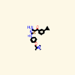 CC(COc1ccc(Nc2nc(N)c(C(=O)c3cccc(C4CC4)c3)s2)cc1)N(C)C